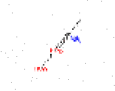 C=C.CCCCCCCCCCCCCCCCCC(=O)O.CCCCCCCCCCCCCCCCCC(=O)O.N.N